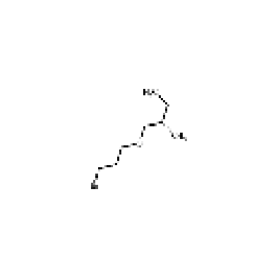 CC[C@H](C)COCCCBr